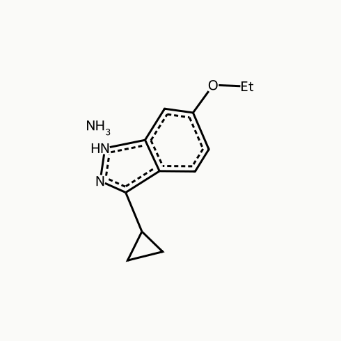 CCOc1ccc2c(C3CC3)n[nH]c2c1.N